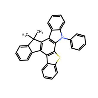 CC1(C)c2ccccc2-c2c1c1c3ccccc3n(-c3ccccc3)c1c1sc3ccccc3c21